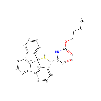 CCCCOC(=O)N[C@H](C=O)CSC(c1ccccc1)(c1ccccc1)c1ccccc1